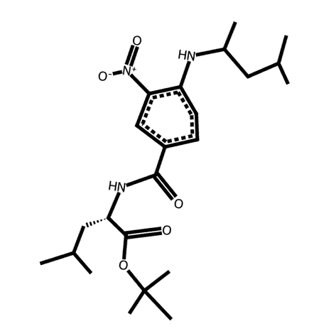 CC(C)CC(C)Nc1ccc(C(=O)N[C@@H](CC(C)C)C(=O)OC(C)(C)C)cc1[N+](=O)[O-]